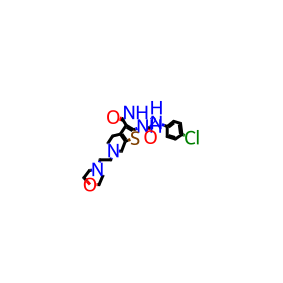 NC(=O)c1c(NC(=O)Nc2ccc(Cl)cc2)sc2c1CCN(CCN1CCOCC1)C2